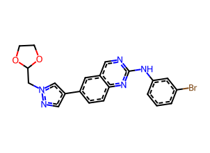 Brc1cccc(Nc2ncc3cc(-c4cnn(CC5OCCO5)c4)ccc3n2)c1